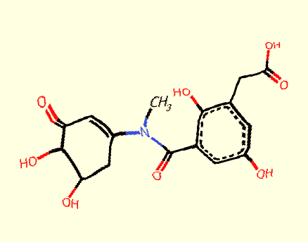 CN(C(=O)c1cc(O)cc(CC(=O)O)c1O)C1=CC(=O)C(O)C(O)C1